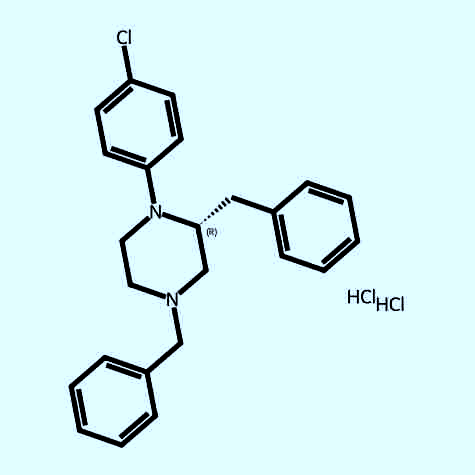 Cl.Cl.Clc1ccc(N2CCN(Cc3ccccc3)C[C@H]2Cc2ccccc2)cc1